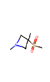 CN1CC(C)(S(C)(=O)=O)C1